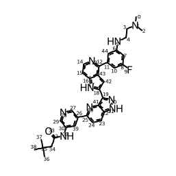 CN(C)CCNc1cc(F)cc(-c2nccc3[nH]c(-c4n[nH]c5ccc(-c6cncc(NC(=O)CC(C)(C)C)c6)nc45)cc23)c1